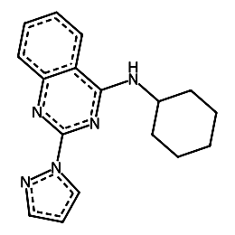 c1ccc2c(NC3CCCCC3)nc(-n3cccn3)nc2c1